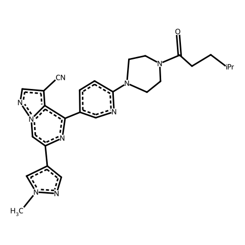 CC(C)CCC(=O)N1CCN(c2ccc(-c3nc(-c4cnn(C)c4)cn4ncc(C#N)c34)cn2)CC1